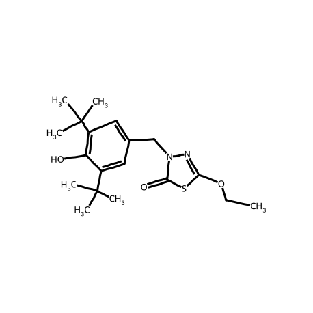 CCOc1nn(Cc2cc(C(C)(C)C)c(O)c(C(C)(C)C)c2)c(=O)s1